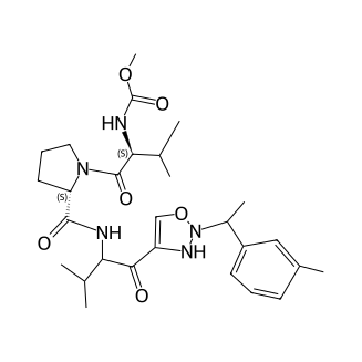 COC(=O)N[C@H](C(=O)N1CCC[C@H]1C(=O)NC(C(=O)C1=CON(C(C)c2cccc(C)c2)N1)C(C)C)C(C)C